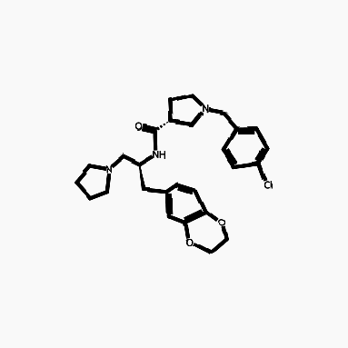 O=C(N[C@@H](Cc1ccc2c(c1)OCCO2)CN1CCCC1)[C@@H]1CCN(Cc2ccc(Cl)cc2)C1